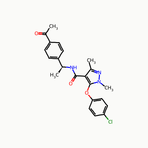 CC(=O)c1ccc([C@H](C)NC(=O)c2c(C)nn(C)c2Oc2ccc(Cl)cc2)cc1